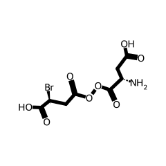 N[C@@H](CC(=O)O)C(=O)OOC(=O)C[C@H](Br)C(=O)O